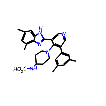 Cc1cc(C)cc(-c2cncc(-c3nc4c(C)cc(C)cc4[nH]3)c2N2CCC(NC(=O)O)CC2)c1